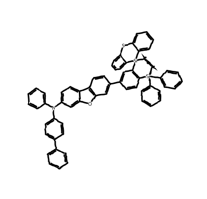 c1ccc(-c2ccc(N(c3ccccc3)c3ccc4c(c3)oc3cc(-c5ccc6c(c5)[Si]5(c7ccccc7Sc7ccccc75)c5ccccc5[Si]6(c5ccccc5)c5ccccc5)ccc34)cc2)cc1